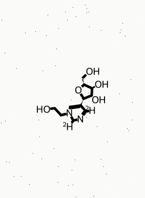 [2H]C1=NC([2H])N(CCO)C=C1[C@@H]1O[C@H](CO)[C@@H](O)[C@H]1O